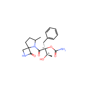 CC1CCC2(CNC2=O)N1C(=O)[C@@](Cc1ccccc1)(OC(N)=O)[C@@H](C)O